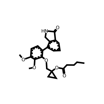 CCCCC(=O)OC1(COc2c(-c3cccc4c3CNC4=O)ccc(OC)c2OC)CC1